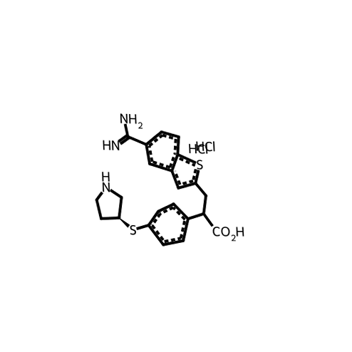 Cl.Cl.N=C(N)c1ccc2sc(CC(C(=O)O)c3ccc(S[C@H]4CCNC4)cc3)cc2c1